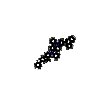 CC1(C)c2cc(-c3ccccc3)ccc2-c2ccc(N(c3ccccc3)c3ccc(-c4ccccc4-n4c5ccccc5c5cc(-c6cc7ccccc7c7ccccc67)ccc54)cc3)cc21